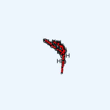 CCCCCCCCCCCCCCCC(=O)NCCCCCC(=O)NCCCC[C@H](NC(=O)[C@@H](NC(=O)CCOCCOCCOCCOCCOCCOCCOCCOC)[C@@H](C)CC)C(=O)N1CCN(c2ccc3ncn(CC(=O)N[C@@H](CCCNC(=N)N)C(=O)NC)c(=O)c3c2)CC1